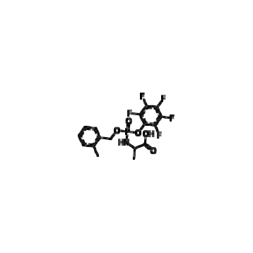 Cc1ccccc1COP(=O)(NC(C)C(=O)O)Oc1c(F)c(F)c(F)c(F)c1F